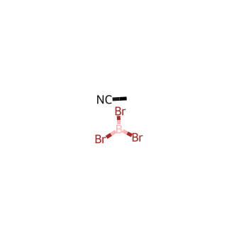 BrB(Br)Br.CC#N